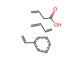 C=CC=C.C=CCC(=O)O.C=Cc1ccccc1